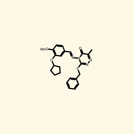 COc1ccc(/C=N/n2c(SCc3ccccc3)nnc(C)c2=O)cc1OC1CCCC1